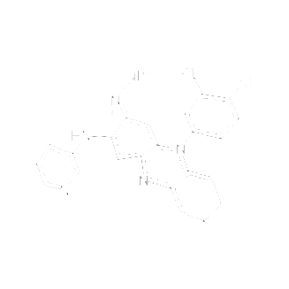 CC(C)/N=c1\cc2n(-c3ccc(Cl)c(Cl)c3)c3c(nc-2cc1Nc1cccnc1)=CCCC=3